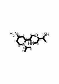 CC(S)C1CNC(C2CC(N)CCN2C(C)C)CO1